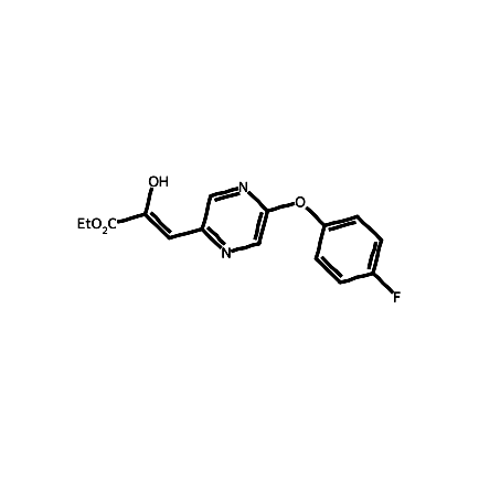 CCOC(=O)C(O)=Cc1cnc(Oc2ccc(F)cc2)cn1